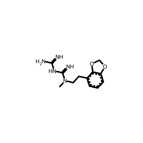 CN(CCc1cccc2c1OCO2)C(=N)NC(=N)N